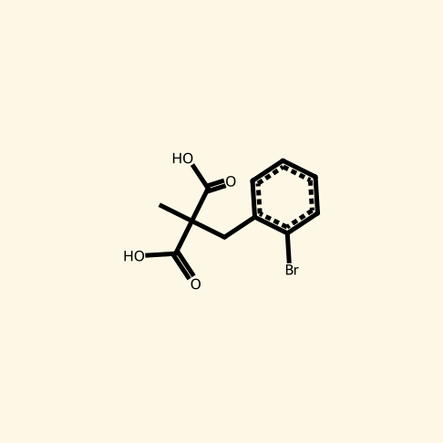 CC(Cc1ccccc1Br)(C(=O)O)C(=O)O